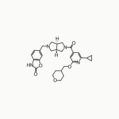 O=C(c1cc(OCC2CCOCC2)nc(C2CC2)c1)N1C[C@@H]2CN(Cc3ccc4[nH]c(=O)oc4c3)C[C@H]2C1